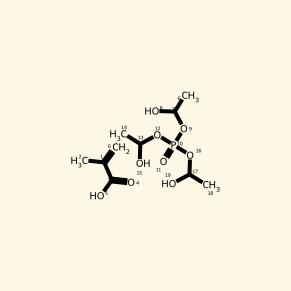 C=C(C)C(=O)O.CC(O)OP(=O)(OC(C)O)OC(C)O